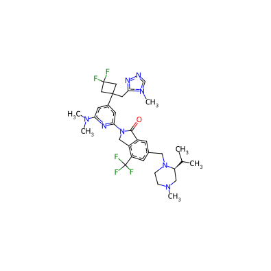 CC(C)[C@H]1CN(C)CCN1Cc1cc2c(c(C(F)(F)F)c1)CN(c1cc(C3(Cc4nncn4C)CC(F)(F)C3)cc(N(C)C)n1)C2=O